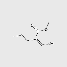 CCCC(=CO)C(=O)OC